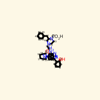 Nc1nnc(-c2ccccc2O)cc1N1CC2CCC(C1)N2c1ccccc1OCCN1CCN(C(=O)O)C(Cc2ccccc2)C1